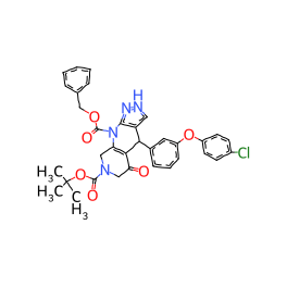 CC(C)(C)OC(=O)N1CC(=O)C2=C(C1)N(C(=O)OCc1ccccc1)c1n[nH]cc1C2c1cccc(Oc2ccc(Cl)cc2)c1